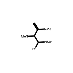 C=C(NC)C(NC)C(CC)NC